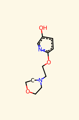 Oc1ccc(OCCN2CCOCC2)nc1